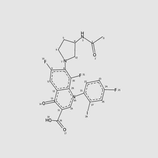 CC(=O)NC1CCN(c2c(F)cc3c(=O)c(C(=O)O)cn(-c4ccc(F)cc4I)c3c2F)C1